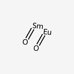 [O]=[Eu].[O]=[Sm]